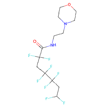 O=C(NCCN1CCOCC1)C(F)(F)CC(F)(F)C(F)(F)CC(F)F